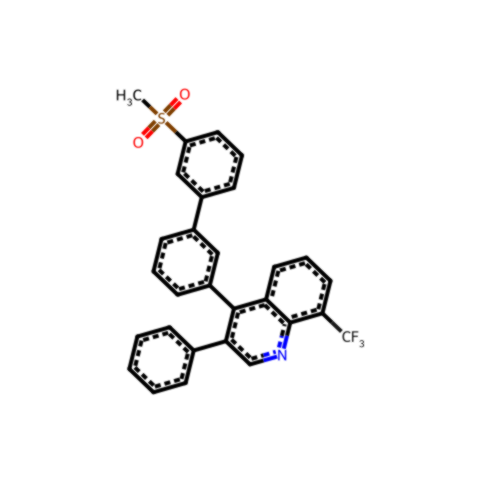 CS(=O)(=O)c1cccc(-c2cccc(-c3c(-c4ccccc4)cnc4c(C(F)(F)F)cccc34)c2)c1